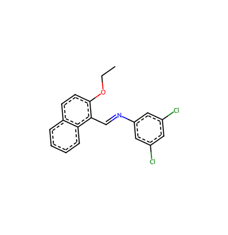 CCOc1ccc2ccccc2c1/C=N/c1cc(Cl)cc(Cl)c1